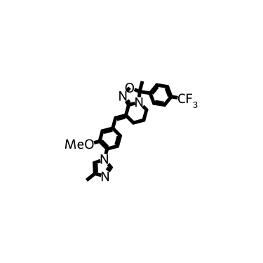 COc1cc(/C=C2\CCCN3C2=NOC3(C)c2ccc(C(F)(F)F)cc2)ccc1-n1cnc(C)c1